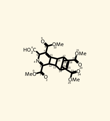 COC(=O)C1=NC(C(=O)O)C(C(=O)OC)=C2C1C1C3C=CC(C(C(=O)OC)C3C(=O)OC)C21